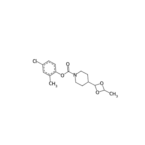 Cc1cc(Cl)ccc1OC(=O)N1CCC(C2OC(C)O2)CC1